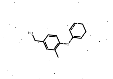 Cc1cc(CO)ccc1OC1=CCCC=C1